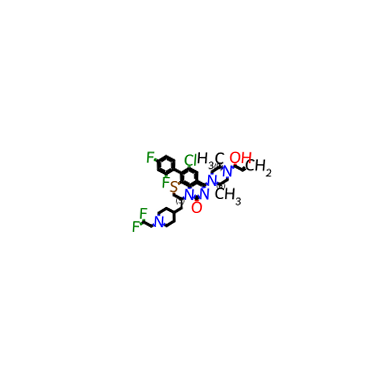 C=CC(O)N1C[C@H](C)N(c2nc(=O)n3c4c(c(-c5ccc(F)cc5F)c(Cl)cc24)SC[C@@H]3CC2CCN(CC(F)F)CC2)C[C@H]1C